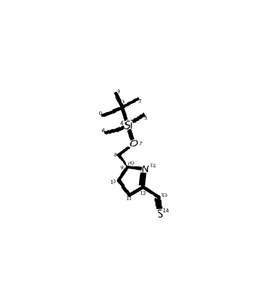 CC(C)(C)[Si](C)(C)OC[C@@H]1CCC(C=S)=N1